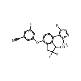 Cn1ncc(F)c1-c1ccc(Oc2cc(F)cc(C#N)c2)c2c1C(O)C(F)(F)C2